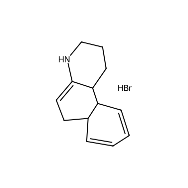 Br.C1=CC2CC=C3NCCCC3C2C=C1